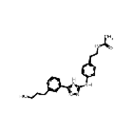 CC(=O)NCCc1ccc(Nc2nnc(-c3cccc(CCCO)c3)[nH]2)cc1